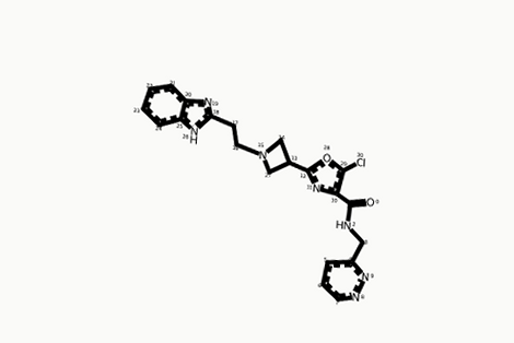 O=C(NCc1cccnn1)c1nc(C2CN(CCc3nc4ccccc4[nH]3)C2)oc1Cl